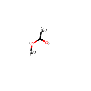 CCC(C)OC([O])C(C)(C)C